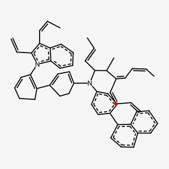 C=C\C=C/C(=C/C=C\C)C(C)C(C=CC)N(C1=CC=C(C2=C(n3c(C=C)c(/C=C\C)c4ccccc43)C=CCC2)CC1)c1ccc(-c2cccc3ccccc23)cc1